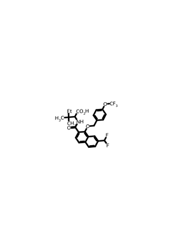 CCC(C)(C)C(NC(=O)c1ccc2ccc(C(F)F)cc2c1OCc1ccc(OC(F)(F)F)cc1)C(=O)O